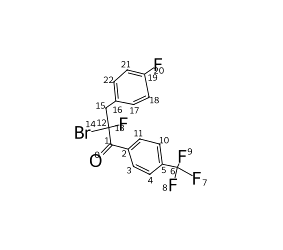 O=C(c1ccc(C(F)(F)F)cc1)C(F)(Br)Cc1ccc(F)cc1